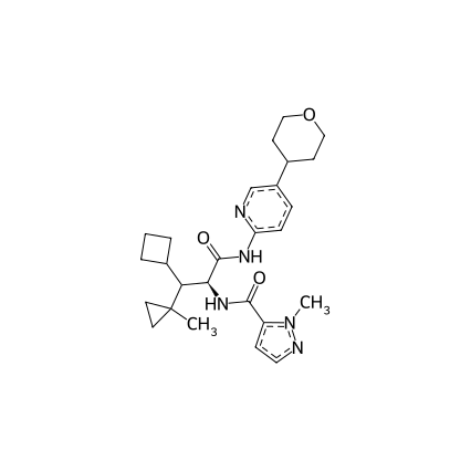 Cn1nccc1C(=O)N[C@H](C(=O)Nc1ccc(C2CCOCC2)cn1)C(C1CCC1)C1(C)CC1